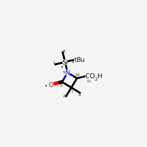 CC1(C)C(=O)N([Si](C)(C)C(C)(C)C)C1C(=O)O